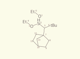 CCO[SiH](OCC)C(C(C)(C)C)C12CCC(CC1)C2